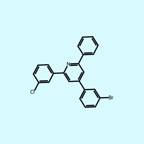 Clc1cccc(-c2cc(-c3cccc(Br)c3)cc(-c3ccccc3)n2)c1